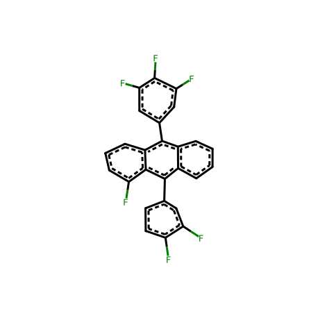 Fc1ccc(-c2c3ccccc3c(-c3cc(F)c(F)c(F)c3)c3cccc(F)c23)cc1F